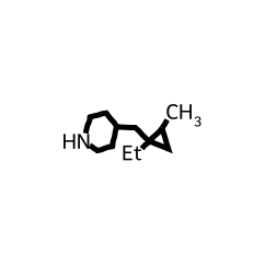 CCC1(CC2CCNCC2)CC1C